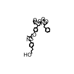 Cc1nc(-c2ccc(CCCO)cc2)sc1COc1ccc(C(CC(=O)N2C(=O)OCC2Cc2ccccc2)c2ccon2)cc1